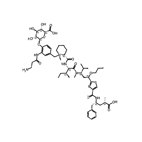 CCCO[C@H](C[C@H](C(C)C)N(C)C(=O)[C@@H](NC(=O)[C@H]1CCCC[N+]1(C)Cc1ccc(O[C@@H]2O[C@H](C(=O)O)[C@@H](O)[C@H](O)[C@H]2O)c(NC(=O)CCN)c1)[C@@H](C)CC)c1nc(C(=O)N[C@@H](Cc2ccccc2)C[C@H](C)C(=O)O)cs1